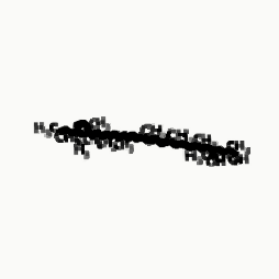 CC(C)=CCC1CCC(C)=C(/C=C/C(C)=C/C=C/C(C)=C/C=C/C=C(C)/C=C/C=C(C)/C=C/C=C(C)/C=C/C(C/C=C(\C)CO)C(C)(C)O)C1(C)C